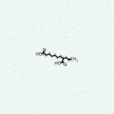 C=CCC(CCCCCCC(=O)O)C(=O)O